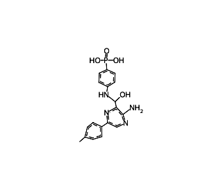 Cc1ccc(-c2cnc(N)c(C(O)Nc3ccc(P(=O)(O)O)cc3)n2)cc1